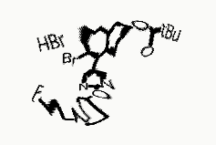 Br.CC(C)(C)C(=O)Oc1ccc2c(c1)CCCC(Br)=C2c1cnc(OC2CCN(CCCF)C2)nc1